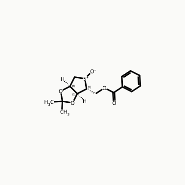 CC1(C)O[C@H]2[C@H](C[S+]([O-])[C@@H]2COC(=O)c2ccccc2)O1